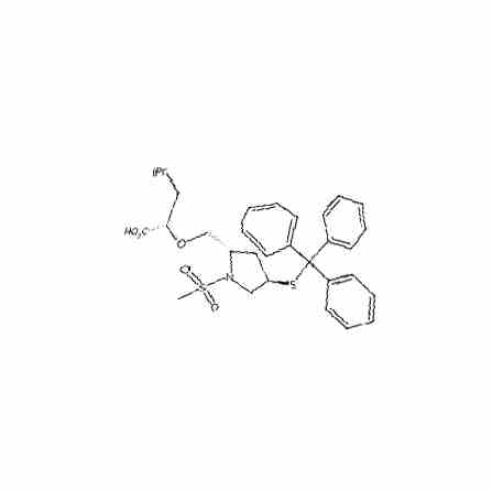 CC(C)C[C@H](OC[C@@H]1C[C@@H](SC(c2ccccc2)(c2ccccc2)c2ccccc2)CN1S(C)(=O)=O)C(=O)O